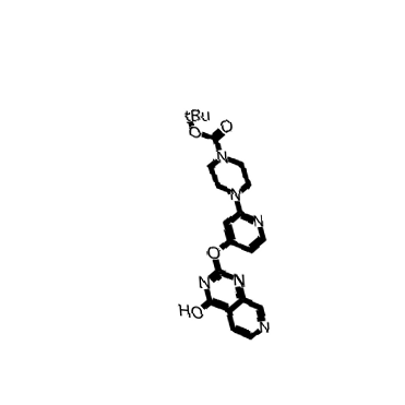 CC(C)(C)OC(=O)N1CCN(c2cc(Oc3nc(O)c4ccncc4n3)ccn2)CC1